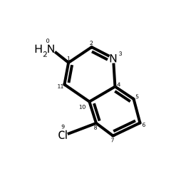 Nc1cnc2cccc(Cl)c2c1